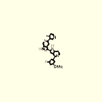 COc1cc(F)cc(-c2nccc3[nH]c(-c4n[nH]c5cnc(-c6cnccc6C)cc45)cc23)c1